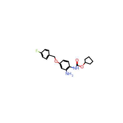 Nc1cc(OCc2ccc(F)cc2)ccc1NC(=O)OC1CCCC1